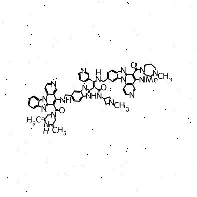 CNc1c(C(=O)N2CCCN(C)CC2)c2nc3ccc(CNc4c(C(=O)NC5CN(C)C5)c5nc6ccc(CNc7c(C(=O)N8C[C@@H](C)N[C@@H](C)C8)c8nc9ccccc9n8c8ccncc78)cc6n5c5ccncc45)cc3n2c2ccncc12